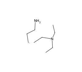 CCN(CC)CC.[CH2]CCN